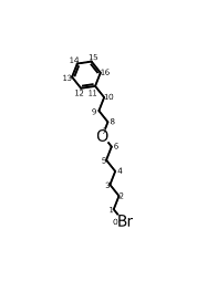 BrCCCCCCOCCCc1ccccc1